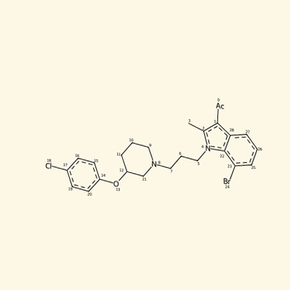 CC(=O)c1c(C)n(CCCN2CCCC(Oc3ccc(Cl)cc3)C2)c2c(Br)cccc12